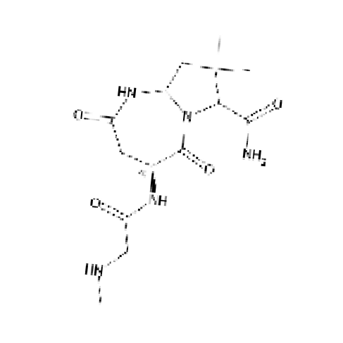 CNCC(=O)N[C@H]1CC(=O)NC2CC(C)(C)C(C(N)=O)N2C1=O